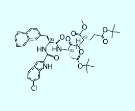 COC(=O)[C@H](CCC(=O)OC(C)(C)C)NC(=O)[C@H](CC(=O)OC(C)(C)C)NC(=O)[C@H](Cc1ccc2ccccc2c1)NC(=O)c1cc2ccc(Cl)cc2[nH]1